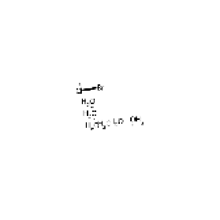 ClBr.O.O.O.O.O.O